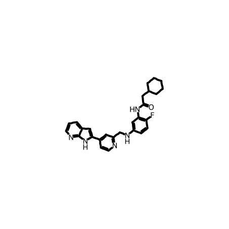 O=C(CC1CCCCC1)Nc1cc(NCc2cc(-c3cc4cccnc4[nH]3)ccn2)ccc1F